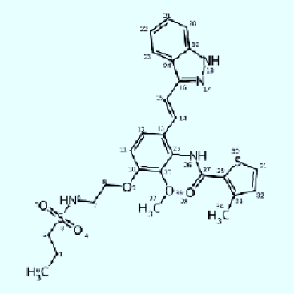 CCCS(=O)(=O)NCCOc1ccc(C=Cc2n[nH]c3ccccc23)c(NC(=O)c2sccc2C)c1OC